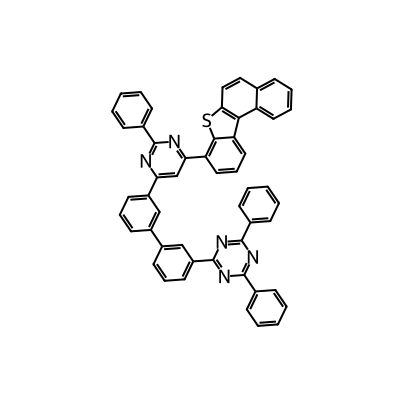 c1ccc(-c2nc(-c3cccc(-c4cccc(-c5nc(-c6ccccc6)nc(-c6ccccc6)n5)c4)c3)cc(-c3cccc4c3sc3ccc5ccccc5c34)n2)cc1